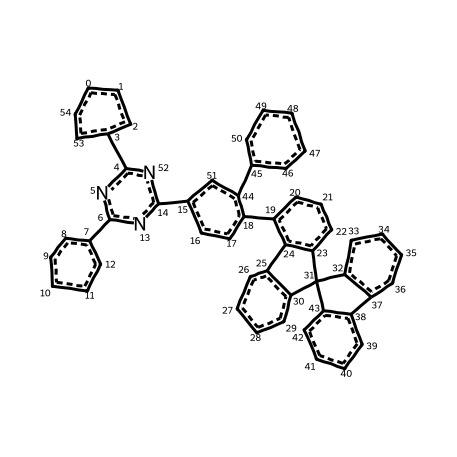 c1ccc(-c2nc(-c3ccccc3)nc(-c3ccc(-c4cccc5c4-c4ccccc4C54c5ccccc5-c5ccccc54)c(-c4ccccc4)c3)n2)cc1